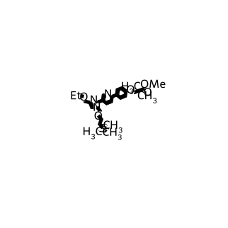 CCOCc1cn(COCC[Si](C)(C)C)c(-c2ccc(-c3ccc(OCC(C)(C)C(=O)OC)cc3)nc2)n1